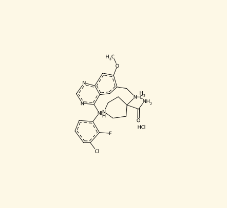 COc1cc2ncnc(Nc3cccc(Cl)c3F)c2cc1CN(C)C1(C(N)=O)CCNCC1.Cl